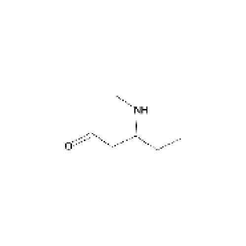 CCC(CC=O)NC